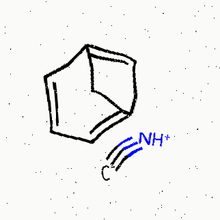 [C-]#[NH+].c1cc2cc(c1)C2